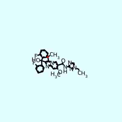 CCc1c(C(O)(c2ccccc2F)c2ccccc2F)nc2cc(OC)c(C(=O)Nc3ncn(CC)n3)cn12